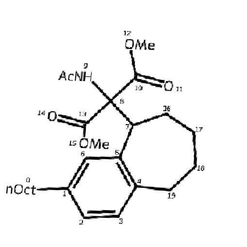 CCCCCCCCc1ccc2c(c1)C(C(NC(C)=O)(C(=O)OC)C(=O)OC)CCCC2